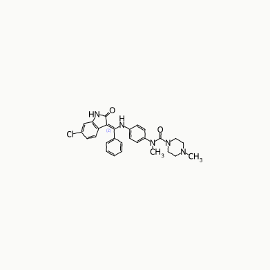 CN1CCN(C(=O)N(C)c2ccc(N/C(=C3\C(=O)Nc4cc(Cl)ccc43)c3ccccc3)cc2)CC1